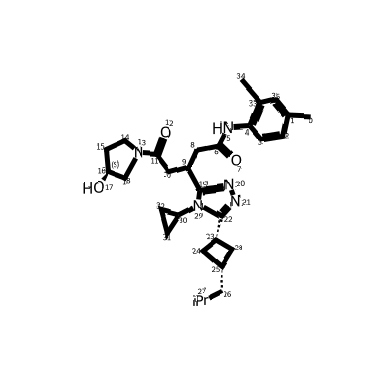 Cc1ccc(NC(=O)CC(CC(=O)N2CC[C@H](O)C2)c2nnc([C@H]3C[C@@H](CC(C)C)C3)n2C2CC2)c(C)c1